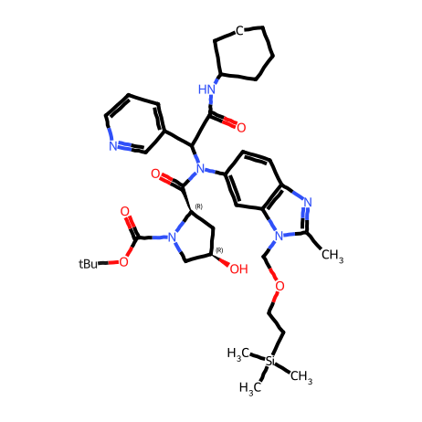 Cc1nc2ccc(N(C(=O)[C@H]3C[C@@H](O)CN3C(=O)OC(C)(C)C)C(C(=O)NC3CCCCC3)c3cccnc3)cc2n1COCC[Si](C)(C)C